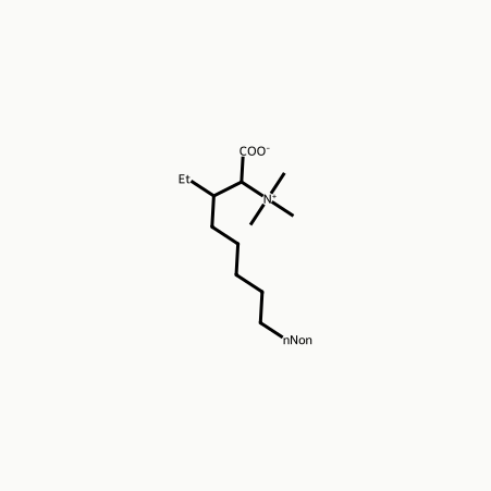 CCCCCCCCCCCCCCC(CC)C(C(=O)[O-])[N+](C)(C)C